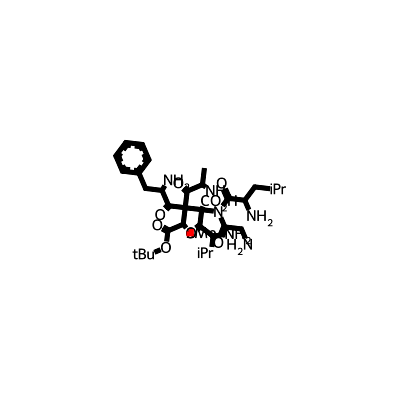 CSC(C(=O)OC(C)(C)C)C(C(=O)C(C)N)(C(=O)C(N)Cc1ccccc1)C(C(=O)O)(C(=O)C(N)C(C)C)N(C(=O)CN)C(=O)C(N)CC(C)C